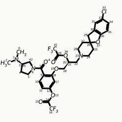 CN(C)[C@@H]1CCN(C(=O)c2ccc(OC(=O)C(F)(F)F)cc2OC[C@H](CN2CCC3(CC2)Cc2cc(Cl)ccc2O3)OC(=O)C(F)(F)F)C1